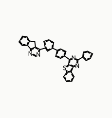 c1ccc(-c2nc(-c3ccc(-c4cccc(-c5ncnc6c5Cc5ccccc5-6)c4)cc3)c3sc4ccccc4c3n2)cc1